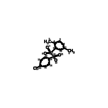 Cc1ccc(C)c(S(=O)(=O)S(=O)(=O)c2ccc(Cl)cc2)c1